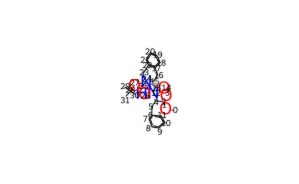 COC(=O)[C@@H](Cc1ccccc1)NC(=O)[C@H]1Cc2ccccc2CN1C(=O)OC(C)(C)C